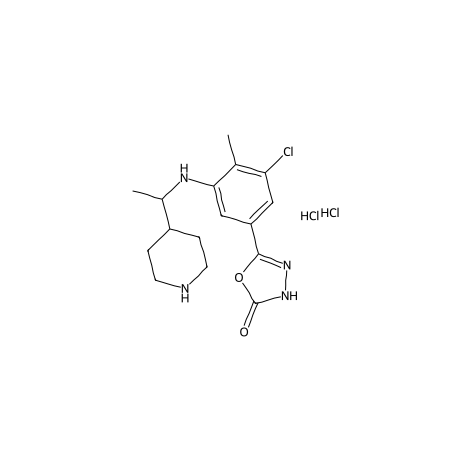 Cc1c(Cl)cc(-c2n[nH]c(=O)o2)cc1NC(C)C1CCNCC1.Cl.Cl